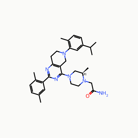 Cc1ccc(C)c(-c2nc3c(c(N4CCN(CC(N)=O)[C@H](C)C4)n2)CN(c2cc(C(C)C)ccc2C)CC3)c1